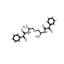 CC(COCC(C)NC(=O)C(=O)c1ccccc1)NC(=O)C(=O)c1ccccc1